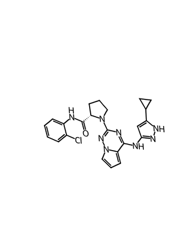 O=C(Nc1ccccc1Cl)[C@@H]1CCCN1c1nc(Nc2cc(C3CC3)[nH]n2)c2cccn2n1